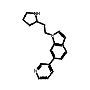 c1cncc(-c2ccc3ccn(CCC4CCCN4)c3c2)c1